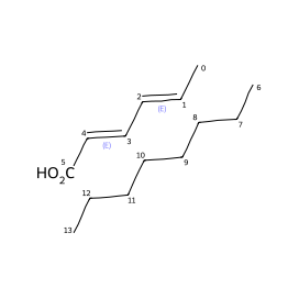 C/C=C/C=C/C(=O)O.CCCCCCCC